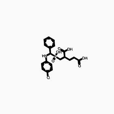 O=C(O)CCC(CP(=O)(O)C(Nc1ccc(Cl)cc1)c1ccccc1)C(=O)O